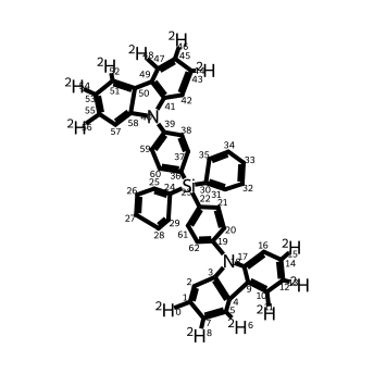 [2H]c1cc2c(c([2H])c1[2H])c1c([2H])c([2H])c([2H])cc1n2-c1ccc([Si](c2ccccc2)(c2ccccc2)c2ccc(-n3c4cc([2H])c([2H])c([2H])c4c4c([2H])c([2H])c([2H])cc43)cc2)cc1